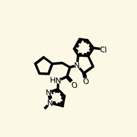 Cn1ccc(NC(=O)C(CC2CCCC2)N2C(=O)Cc3c(Cl)cccc32)n1